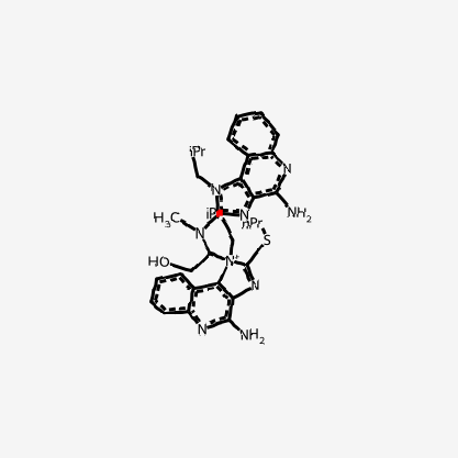 CCCSC1=Nc2c(N)nc3ccccc3c2[N+]1(CC(C)C)C(CO)N(C)c1nc2c(N)nc3ccccc3c2n1CC(C)C